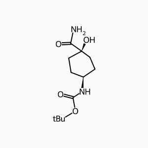 CC(C)(C)OC(=O)N[C@H]1CC[C@](O)(C(N)=O)CC1